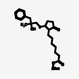 CCCCCCCCCCOC(=O)CCCCCCC1C(=O)CCC1SCC(C)(O)Cc1ccccc1